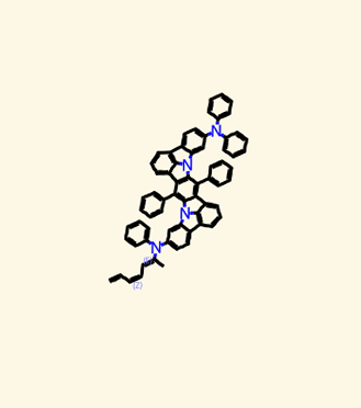 C=C/C=C\C=C(/C)N(c1ccccc1)c1ccc2c3cccc4c5c(-c6ccccc6)c6c(c(-c7ccccc7)c5n(c2c1)c34)c1cccc2c3ccc(N(c4ccccc4)c4ccccc4)cc3n6c21